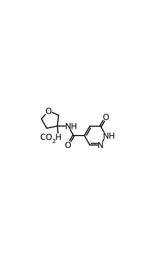 O=C(NC1(C(=O)O)CCOC1)c1cn[nH]c(=O)c1